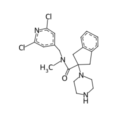 CN(Cc1cc(Cl)nc(Cl)c1)C(=O)C1(N2CCNCC2)Cc2ccccc2C1